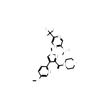 COc1ccc(-c2cn(C)nc2C(=O)N2C[C@@H](C)O[C@@H](C)[C@H]2CNc2cnc(C(F)(F)F)cn2)nc1